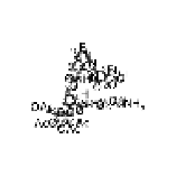 CC[C@@]1(O)C(=O)OCc2c1cc1n(c2=O)Cc2c-1nc1cc(F)c(C)c3c1c2[C@@H](NC(=O)OCc1ccc(O[C@@H]2O[C@H](COC(C)=O)[C@@H](OC(C)=O)[C@H](OC(C)=O)[C@H]2OC(C)=O)c(C(=O)NCCOCCOCCN)c1)CC3